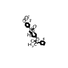 CN(C(=O)O[C@@H]1C[C@H]2CN(c3ccc(OC(F)(F)F)cc3)C(=O)N2C1)c1cccc(F)c1